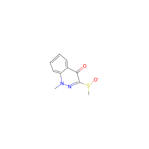 Cn1nc([S+](C)[O-])c(=O)c2ccccc21